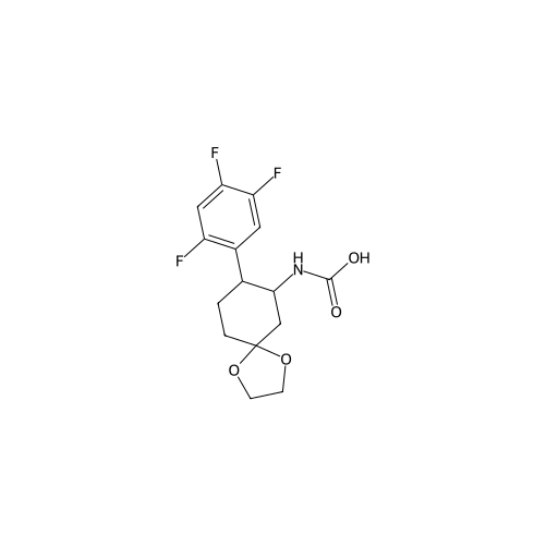 O=C(O)NC1CC2(CCC1c1cc(F)c(F)cc1F)OCCO2